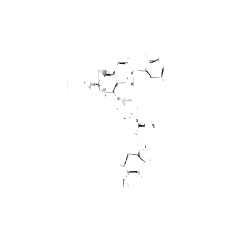 Cc1ccccc1-c1ccc2nc(N)nc(N3CCN(C(=O)COc4ccc(Cl)cc4)CC3)c2n1